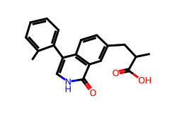 Cc1ccccc1-c1c[nH]c(=O)c2cc(CC(C)C(=O)O)ccc12